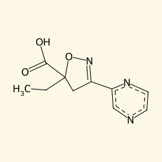 CCC1(C(=O)O)CC(c2cnccn2)=NO1